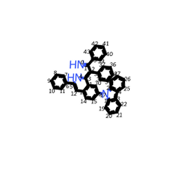 N=C(/C(=C1\NC(c2ccccc2)=Cc2ccc(-n3c4ccccc4c4ccccc43)cc21)c1ccccc1)c1ccccc1